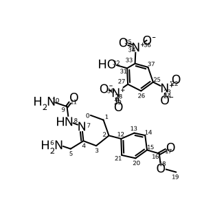 CCC(CC(CN)=NNC(N)=O)c1ccc(C(=O)OC)cc1.O=[N+]([O-])c1cc([N+](=O)[O-])c(O)c([N+](=O)[O-])c1